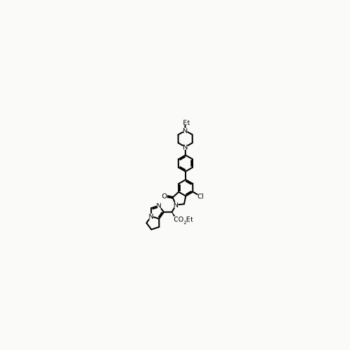 CCOC(=O)[C@@H](c1ncn2c1CCC2)N1Cc2c(Cl)cc(-c3ccc(N4CCN(CC)CC4)cc3)cc2C1=O